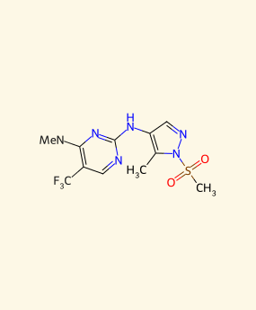 CNc1nc(Nc2cnn(S(C)(=O)=O)c2C)ncc1C(F)(F)F